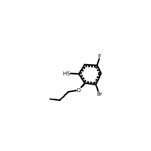 CCCOc1c(S)cc(F)cc1Br